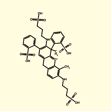 Cc1c(NCCCS(=O)(=O)O)ccc2c1[O+]=C1C(=CC(c3ccccc3S(=O)(=O)O)=C(NCCCS(=O)(=O)O)C1(C)c1ccccc1S(=O)(=O)O)C2